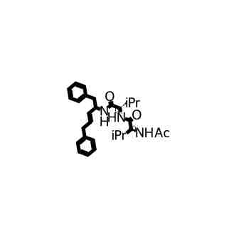 CC(=O)N[C@H](C(=O)N[C@H](C(=O)NC(C=CCc1ccccc1)Cc1ccccc1)C(C)C)C(C)C